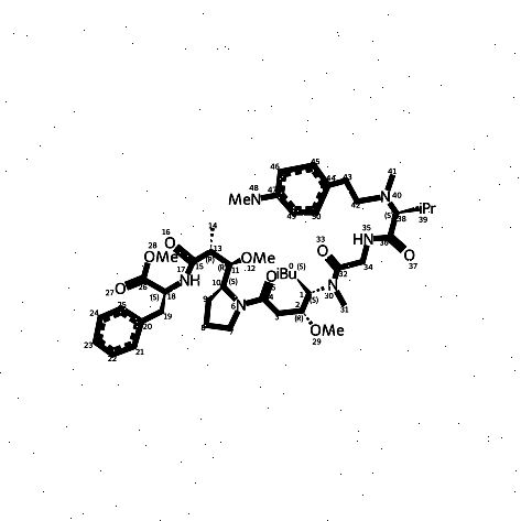 CC[C@H](C)[C@@H]([C@@H](CC(=O)N1CCC[C@H]1[C@H](OC)[C@@H](C)C(=O)N[C@@H](Cc1ccccc1)C(=O)OC)OC)N(C)C(=O)CNC(=O)[C@H](C(C)C)N(C)CCc1ccc(NC)cc1